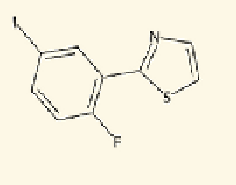 Fc1ccc(I)cc1-c1nccs1